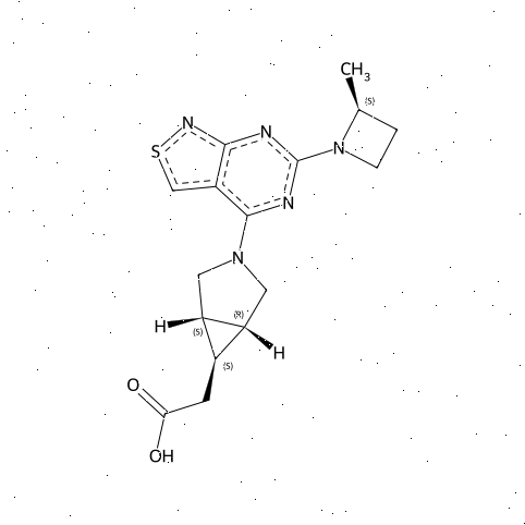 C[C@H]1CCN1c1nc(N2C[C@@H]3[C@@H](CC(=O)O)[C@@H]3C2)c2csnc2n1